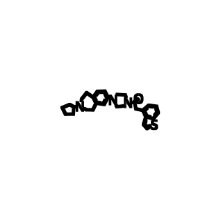 O=C(Cc1cccc2sccc12)N1CCN(c2ccc3c(c2)CCN(C2CCCC2)CC3)CC1